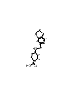 O=C(O)C1CCC(NCc2cc3c(cn2)OCCO3)CC1